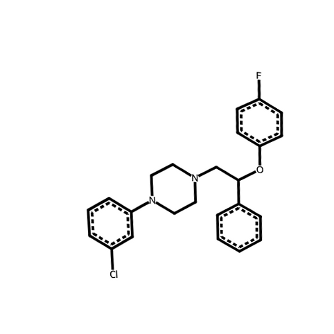 Fc1ccc(OC(CN2CCN(c3cccc(Cl)c3)CC2)c2ccccc2)cc1